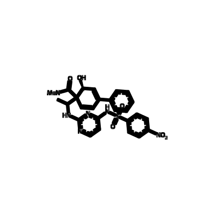 CNC(=O)C1(C(C)Nc2nccc(NS(=O)(=O)c3ccc([N+](=O)[O-])cc3)n2)C=CC(c2ccccc2)=C[C@@H]1O